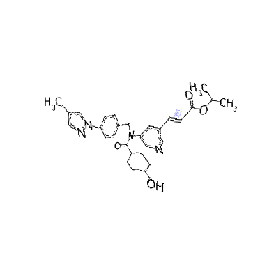 Cc1cnn(-c2ccc(CN(C(=O)C3CCC(O)CC3)c3cncc(/C=C/C(=O)OC(C)C)c3)cc2)c1